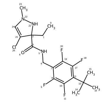 CCC1(C(=O)NCc2c(F)c(F)c(C(C)(C)C)c(F)c2F)NN(C)C=C1Cl